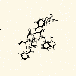 C=CCN1CC(=O)N2[C@@H](Cc3ccc(OP(=O)(O)O)cc3)C(=O)N(Cc3cccc4cn[nH]c34)C[C@@H]2N1C(=O)NCc1ccccc1